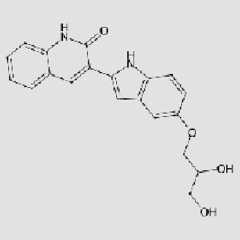 O=c1[nH]c2ccccc2cc1-c1cc2cc(OCC(O)CO)ccc2[nH]1